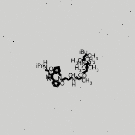 CCC(C)C(C)CC(C)(C)NC(=O)C(C)(C)CCOC(C)(C)CCNC(=O)CCC(=O)N1Cc2ccccc2-c2c(nnn2C(O)CNC(C)C)-c2ccccc21